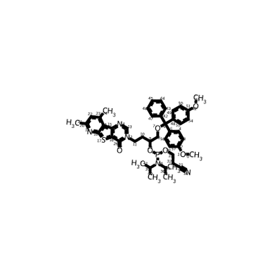 COc1ccc(C(OCC(CCn2cnc3c(sc4nc(C)cc(C)c43)c2=O)OP(OCCC#N)N(C(C)C)C(C)C)(c2ccccc2)c2ccc(OC)cc2)cc1